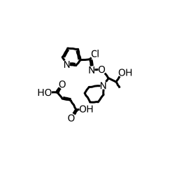 CC(O)C(ON=C(Cl)c1cccnc1)N1CCCCC1.O=C(O)C=CC(=O)O